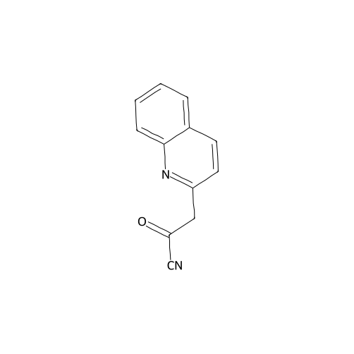 N#CC(=O)Cc1ccc2ccccc2n1